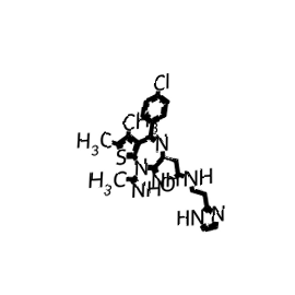 CC(=N)N1C(=N)[C@H](CC(=O)NCCc2ncc[nH]2)N=C(c2ccc(Cl)cc2)c2c1sc(C)c2C